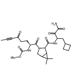 CC#CC(=O)CC[C@H](NC(=O)OC(C)(C)C)C(=O)N1CC2C(C1C(=O)NC(CC1CCC1)C(=O)C(N)=O)C2(C)C